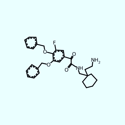 NCCC1(CNC(=O)C(=O)c2cc(F)c(OCc3ccccc3)c(OCc3ccccc3)c2)CCCCC1